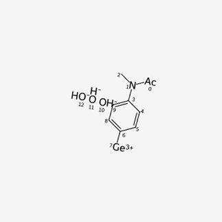 CC(=O)N(C)c1cc[c]([Ge+3])cc1.[OH-].[OH-].[OH-]